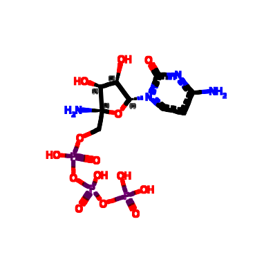 Nc1ccn([C@@H]2O[C@](N)(COP(=O)(O)OP(=O)(O)OP(=O)(O)O)[C@@H](O)[C@H]2O)c(=O)n1